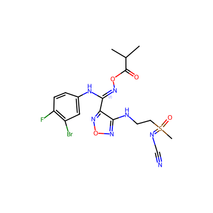 CC(C)C(=O)O/N=C(\Nc1ccc(F)c(Br)c1)c1nonc1NCCS(C)(=O)=NC#N